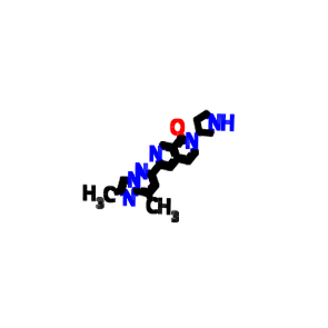 Cc1cn2nc(-c3cc4ccn(C5CCNC5)c(=O)c4cn3)cc(C)c2n1